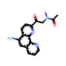 CC(=O)N(I)CC(=O)c1ccc2c(N)cc3cccnc3c2n1